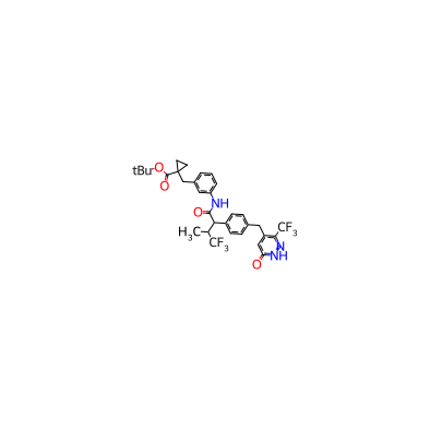 CC(C(C(=O)Nc1cccc(CC2(C(=O)OC(C)(C)C)CC2)c1)c1ccc(Cc2cc(=O)[nH]nc2C(F)(F)F)cc1)C(F)(F)F